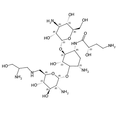 NCC[C@H](O)C(=O)N[C@@H]1C[C@H](N)C(O[C@H]2O[C@H](CNCC(N)CO)[C@@H](O)[C@H](O)[C@H]2N)[C@H](O)[C@H]1O[C@H]1O[C@H](CO)[C@@H](O)[C@H](N)[C@H]1O